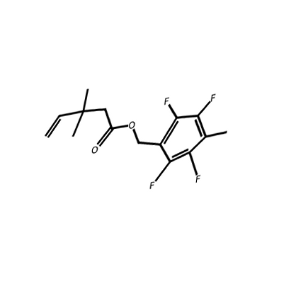 C=CC(C)(C)CC(=O)OCc1c(F)c(F)c(C)c(F)c1F